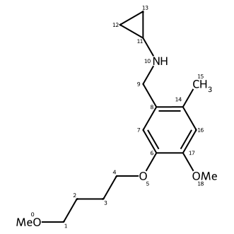 COCCCCOc1cc(CNC2CC2)c(C)cc1OC